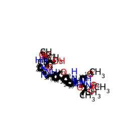 CC[C@H](C)[C@H](NC(=O)OC)C(=O)N1C[C@@H](COC)C[C@H]1c1nc2ccc3cc4c(cc3c2[nH]1)OCc1cc(-c2cnc([C@@H]3CC[C@H](C)N3C(=O)[C@@H](NC(=O)OC)[C@@H](C)CO)[nH]2)ccc1-4